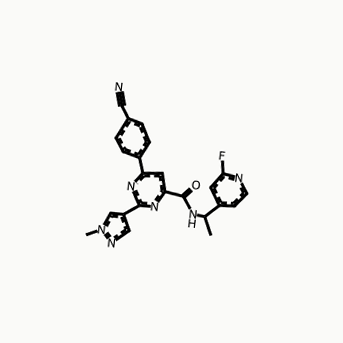 CC(NC(=O)c1cc(-c2ccc(C#N)cc2)nc(-c2cnn(C)c2)n1)c1ccnc(F)c1